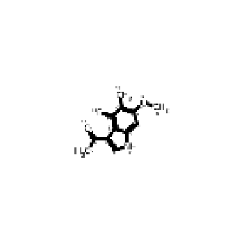 COc1cc2[nH]cc(C(C)=O)c2c(F)c1C